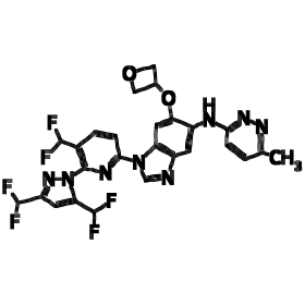 Cc1ccc(Nc2cc3ncn(-c4ccc(C(F)F)c(-n5nc(C(F)F)cc5C(F)F)n4)c3cc2OC2COC2)nn1